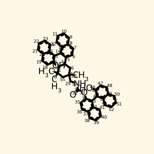 CC1(C)C[C](c2ccc3ccccc3c2-c2c(O)ccc3ccccc23)CC(C)(CNC(=O)Oc2ccc3ccccc3c2-c2c(O)ccc3ccccc23)C1